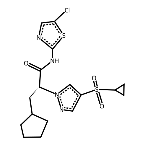 O=C(Nc1ncc(Cl)s1)[C@@H](CC1CCCC1)n1cc(S(=O)(=O)C2CC2)cn1